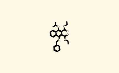 CCOC(=O)c1c(C(=O)OCC)c(OC(C)C)c2ccccc2c1OCc1ccccc1